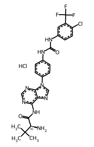 CC(C)(C)[C@H](N)C(=O)Nc1ncnc2c1ncn2-c1ccc(NC(=O)Nc2ccc(Cl)c(C(F)(F)F)c2)cc1.Cl